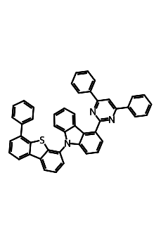 c1ccc(-c2cc(-c3ccccc3)nc(-c3cccc4c3c3ccccc3n4-c3cccc4c3sc3c(-c5ccccc5)cccc34)n2)cc1